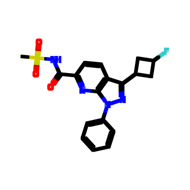 CS(=O)(=O)NC(=O)c1ccc2c(C3CC(F)C3)nn(-c3ccccc3)c2n1